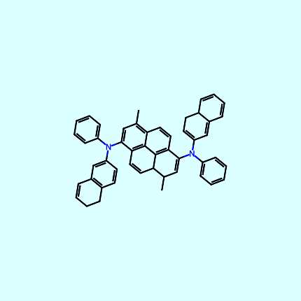 Cc1cc(N(c2ccccc2)c2ccc3c(c2)C=CCC3)c2c3c4c(ccc13)C(N(C1=CCC3C=CC=CC3=C1)c1ccccc1)=CC(C)C4C=C2